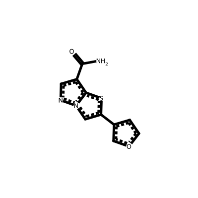 NC(=O)c1cnn2cc(-c3ccoc3)sc12